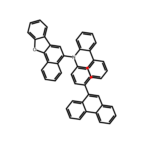 c1ccc(-c2ccccc2N(c2ccc(-c3cc4ccccc4c4ccccc34)cc2)c2cc3c4ccccc4oc3c3ccccc23)cc1